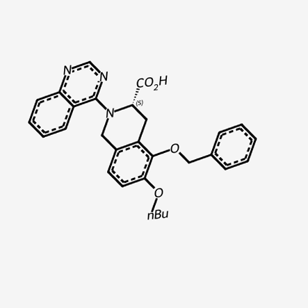 CCCCOc1ccc2c(c1OCc1ccccc1)C[C@@H](C(=O)O)N(c1ncnc3ccccc13)C2